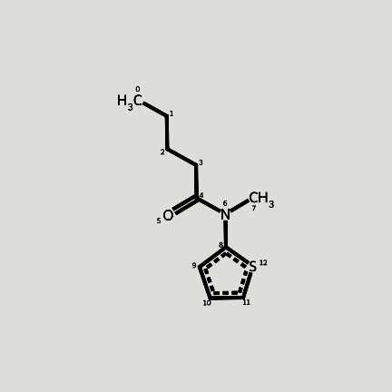 CCCCC(=O)N(C)c1cccs1